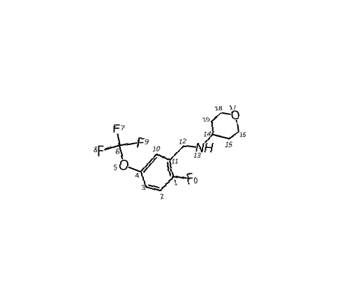 Fc1ccc(OC(F)(F)F)cc1CNC1CCOCC1